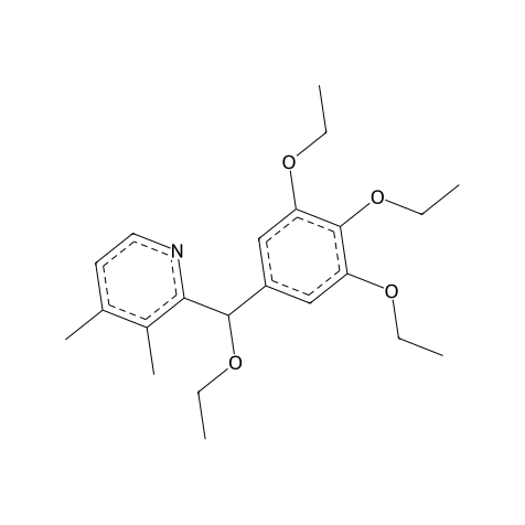 CCOc1cc(C(OCC)c2nccc(C)c2C)cc(OCC)c1OCC